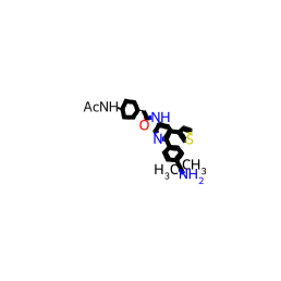 CC(=O)N[C@H]1CC[C@H](CC(=O)Nc2cnc(-c3ccc(C(C)(C)N)cc3)c(-c3ccsc3)c2)CC1